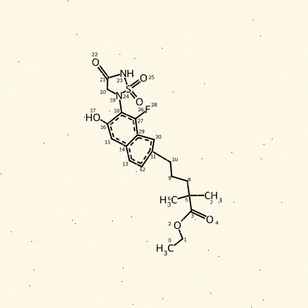 CCOC(=O)C(C)(C)CCCc1ccc2cc(O)c(N3CC(=O)NS3(=O)=O)c(F)c2c1